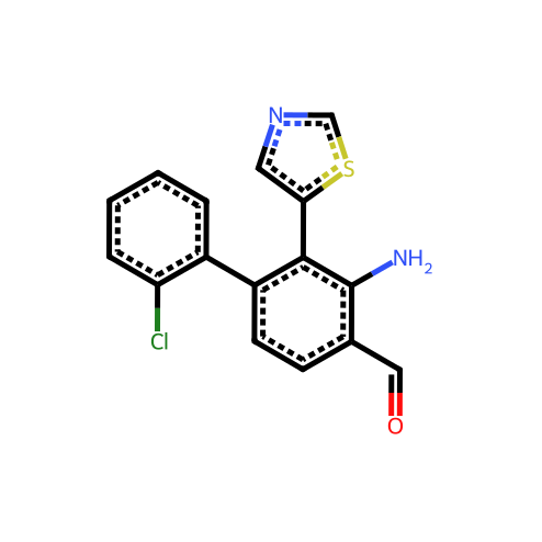 Nc1c(C=O)ccc(-c2ccccc2Cl)c1-c1cncs1